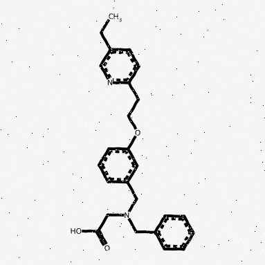 CCc1ccc(CCOc2cccc(CN(CC(=O)O)Cc3ccccc3)c2)nc1